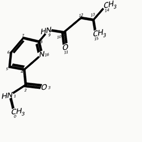 CNC(=O)c1cccc(NC(=O)CC(C)C)n1